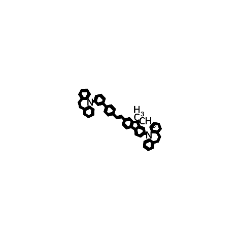 CC1(C)c2cc(/C=C/c3ccc(-c4cccc(N5C6=C(CCC=C6)CCc6ccccc65)c4)cc3)ccc2-c2ccc(N3C4=C(CCC=C4)CCc4ccccc43)cc21